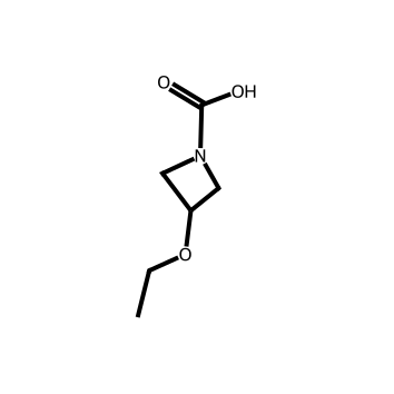 CCOC1CN(C(=O)O)C1